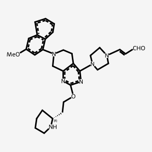 COc1cc(N2CCc3c(nc(OCC[C@H]4CCCCN4)nc3N3CCN(C=CC=O)CC3)C2)c2ccccc2c1